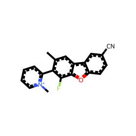 Cc1cc2c(oc3ccc(C#N)cc32)c(F)c1-c1cccc[n+]1C